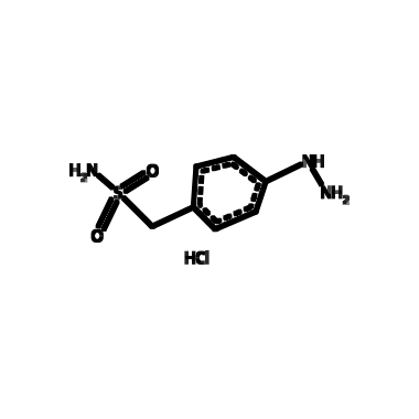 Cl.NNc1ccc(CS(N)(=O)=O)cc1